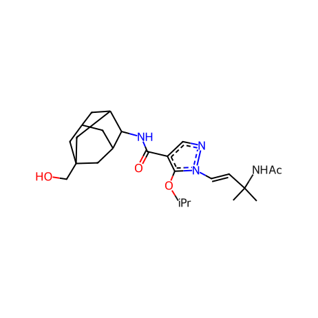 CC(=O)NC(C)(C)/C=C/n1ncc(C(=O)NC2C3CC4CC2CC(CO)(C4)C3)c1OC(C)C